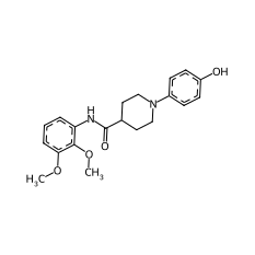 COc1cccc(NC(=O)C2CCN(c3ccc(O)cc3)CC2)c1OC